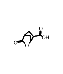 O=C1OC2CC1CC2C(=O)O